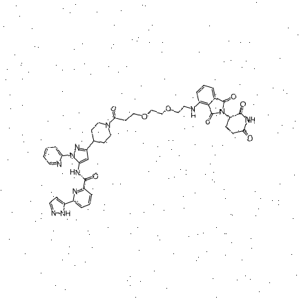 O=C1CCC(N2C(=O)c3cccc(NCCOCCOCCC(=O)N4CCC(c5cc(NC(=O)c6cccc(-c7ccn[nH]7)n6)n(-c6ccccn6)n5)CC4)c3C2=O)C(=O)N1